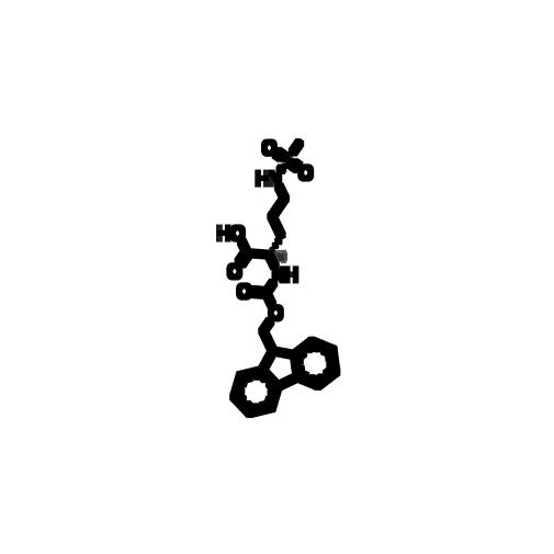 CS(=O)(=O)NCCC[C@H](NC(=O)OCC1c2ccccc2-c2ccccc21)C(=O)O